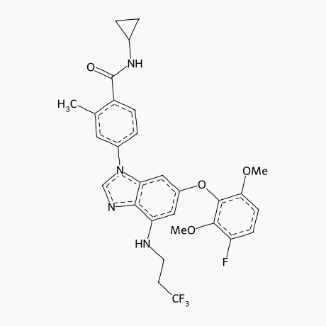 COc1ccc(F)c(OC)c1Oc1cc(NCCC(F)(F)F)c2ncn(-c3ccc(C(=O)NC4CC4)c(C)c3)c2c1